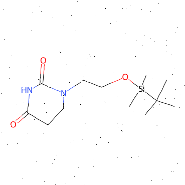 CC(C)(C)[Si](C)(C)OCCN1CCC(=O)NC1=O